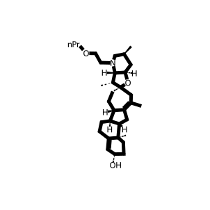 CCCOCCN1C[C@@H](C)C[C@H]2O[C@]3(CC[C@@H]4C(=C(C)C3)C[C@H]3[C@H]4CCC4=C[C@@H](O)CC[C@@]43C)[C@H](C)[C@@H]21